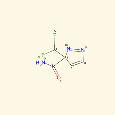 NC(=O)C1(C(F)F)C=CN=N1